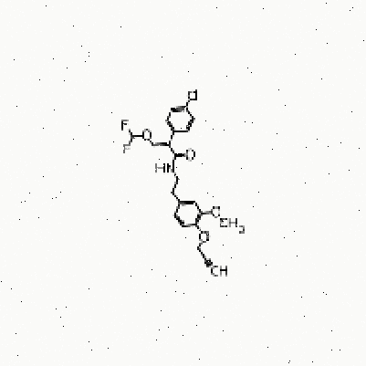 C#CCOc1ccc(CCNC(=O)C(=COC(F)F)c2ccc(Cl)cc2)cc1OC